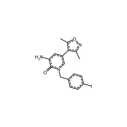 Cc1noc(C)c1-c1cc(N)c(=O)n(Cc2ccc(I)cc2)c1